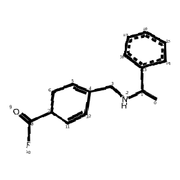 CC(NCC1=CCC(C(=O)F)C=C1)c1ccccc1